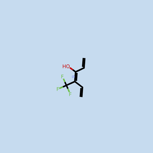 C=C/C(O)=C(\C=C)C(F)(F)F